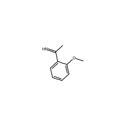 COc1ccccc1C(C)=N